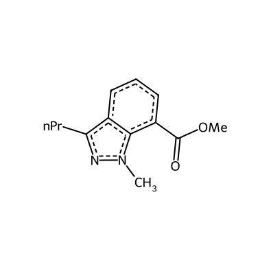 CCCc1nn(C)c2c(C(=O)OC)cccc12